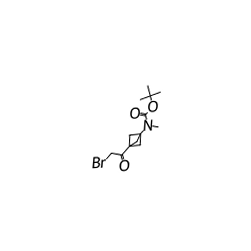 CN(C(=O)OC(C)(C)C)C12CC(C(=O)CBr)(C1)C2